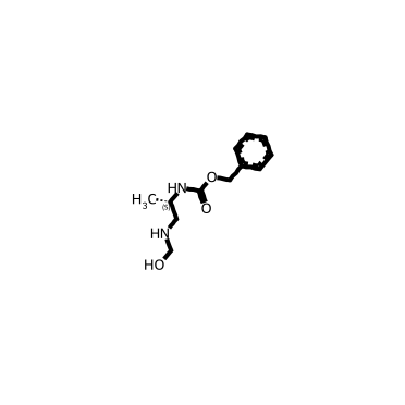 C[C@@H](CNCO)NC(=O)OCc1ccccc1